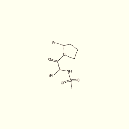 CC(C)C(NS(C)(=O)=O)C(=O)N1CCCC1C(C)C